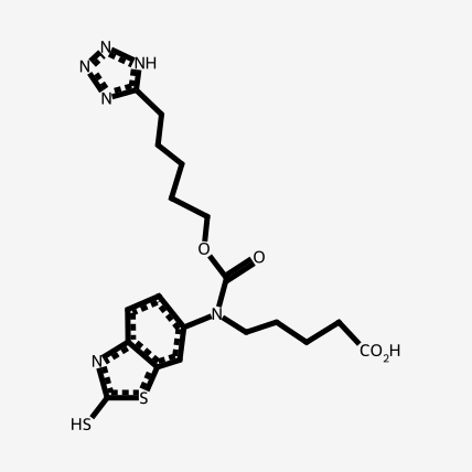 O=C(O)CCCCN(C(=O)OCCCCCc1nnn[nH]1)c1ccc2nc(S)sc2c1